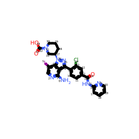 Nc1ncc(I)c2c1c(-c1ccc(C(=O)Nc3ccccn3)cc1Cl)nn2[C@@H]1CCCN(C(=O)O)C1